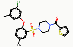 Cc1cc(Cl)cc(Oc2ccc(C#N)cc2S(=O)(=O)N2CCN(C(=O)c3cccs3)CC2)c1